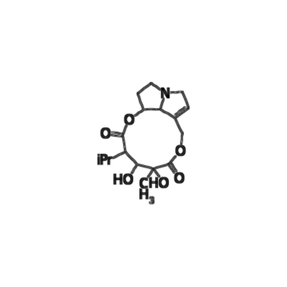 CC(C)C1C(=O)OC2CCN3CC=C(COC(=O)C(C)(O)C1O)C23